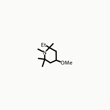 CCC1(C)CC(OC)CC(C)(C)N1C